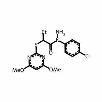 CCC(Sc1nc(OC)cc(OC)n1)C(=O)N(N)c1ccc(Cl)cc1